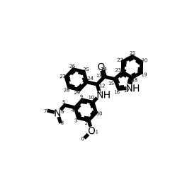 COc1cc(CN(C)C)cc(NC(C(=O)c2c[nH]c3ccccc23)c2ccccc2)c1